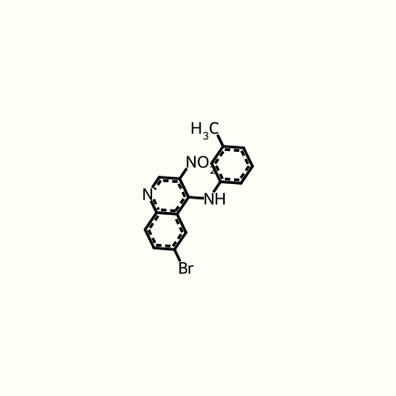 Cc1cccc(Nc2c([N+](=O)[O-])cnc3ccc(Br)cc23)c1